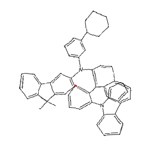 CC1(C)c2ccccc2-c2cc(N(c3cccc(C4CCCCC4)c3)c3ccc4ccccc4c3-c3ccccc3-n3c4ccccc4c4ccccc43)ccc21